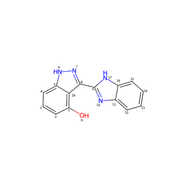 Oc1cccc2[nH]nc(-c3nc4ccccc4[nH]3)c12